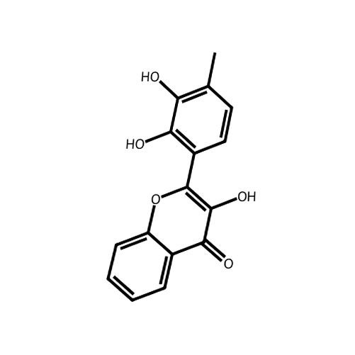 Cc1ccc(-c2oc3ccccc3c(=O)c2O)c(O)c1O